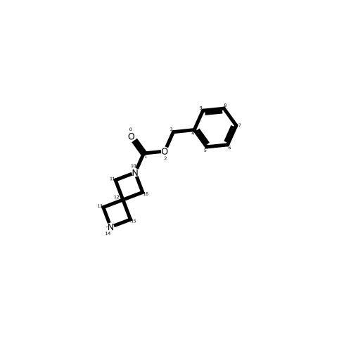 O=C(OCc1ccccc1)N1CC2(C[N]C2)C1